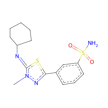 Cn1nc(-c2cccc(S(N)(=O)=O)c2)sc1=NC1CCCCC1